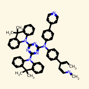 C=N/C=C\C(=C/C)c1ccc(N(c2ccc(-c3ccncc3)cc2)c2nc(N3c4ccccc4C(C)(C)c4ccccc43)nc(N3c4ccccc4C(C)(C)c4ccccc43)n2)cc1